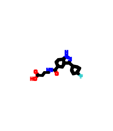 O=C(O)CCCNC(=O)c1ccc2[nH]nc(-c3ccc(F)cc3)c2c1